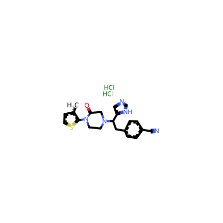 Cc1ccsc1N1CCN(C(Cc2ccc(C#N)cc2)c2cnc[nH]2)CC1=O.Cl.Cl